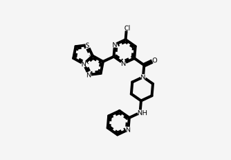 O=C(c1cc(Cl)nc(-c2cnn3ccsc23)n1)N1CCC(Nc2ccccn2)CC1